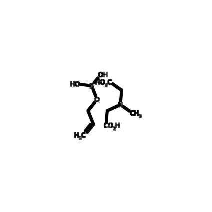 C=CCOB(O)O.CN(CC(=O)O)CC(=O)O